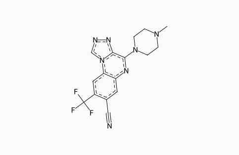 CN1CCN(c2nc3cc(C#N)c(C(F)(F)F)cc3n3cnnc23)CC1